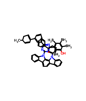 Bc1c(B)c(O)c(B)c(-c2nc(-c3cccc(C4=CCC(C)C=C4)c3)nc(-n3c4ccccc4c4ccc5c6ccccc6n(C6=CC(c7ccccc7)CC=C6)c5c43)n2)c1B